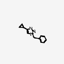 c1ccc(Cn2cc(C3CC3)nn2)cc1